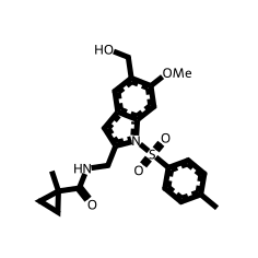 COc1cc2c(cc1CO)cc(CNC(=O)C1(C)CC1)n2S(=O)(=O)c1ccc(C)cc1